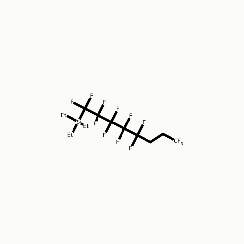 CC[Si](CC)(CC)C(F)(F)C(F)(F)C(F)(F)C(F)(F)C(F)(F)CCC(F)(F)F